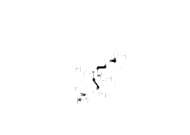 C[N+](C)(CCO)CCOC(=O)O.F[B-](F)(F)F